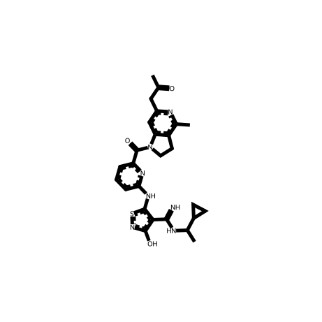 CC(=O)Cc1cc2c(c(C)n1)CCN2C(=O)c1cccc(Nc2snc(O)c2C(=N)NC(C)C2CC2)n1